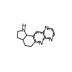 c1cnc2nc3c(cc2n1)C1NCCC1CC3